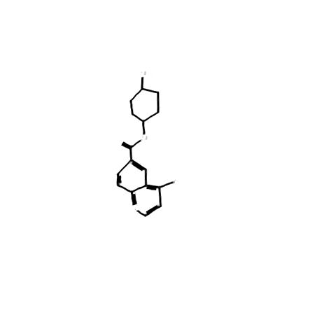 Nc1ccnc2ccc(C(=O)NC3CCC(N)CC3)cc12